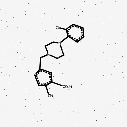 Cc1ccc(CN2CCN(c3ccccc3Cl)CC2)cc1C(=O)O